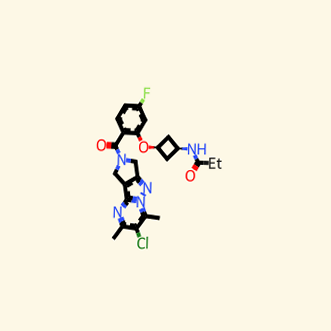 CCC(=O)N[C@H]1C[C@@H](Oc2cc(F)ccc2C(=O)N2Cc3nn4c(C)c(Cl)c(C)nc4c3C2)C1